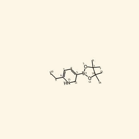 CC1(C)OB(C2=CC=C(CI)NC2)OC1(C)C